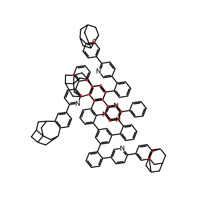 c1ccc(-c2ncc(-c3c(-c4cc(-c5ccccc5-c5ccc(-c6ccc7c(c6)C6CC8CC(CC7C8)C6)nc5)cc(-c5ccccc5-c5ccc(-c6ccc7c(c6)C6CC8CC9CC7CC98C6)nc5)c4)cccc3-c3cc(-c4ccccc4-c4ccc(-c5ccc6c(c5)C5CC7CC(CC6C7)C5)nc4)cc(-c4ccccc4-c4ccc(-c5ccc6c(c5)C5CC7CC8CC6CC87C5)nc4)c3)cn2)cc1